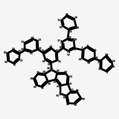 c1ccc(-c2ccc(-c3nc(-c4ccccc4)nc(-c4cc(-c5cccc(-c6ccccc6)c5)cc(-n5c6ccccc6c6c7sc8ccccc8c7ccc65)c4)n3)cc2)cc1